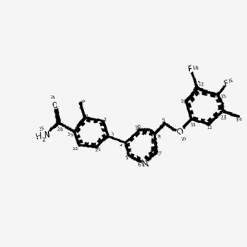 Cc1cc(-c2cncc(COc3cc(C)c(F)c(F)c3)c2)ccc1C(N)=O